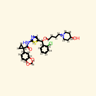 O=C(Nc1ncc(C(OCCCCN2CCC(O)CC2)c2ccccc2Cl)s1)C1(c2ccc3c(c2)OCO3)CC1